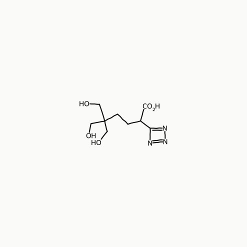 O=C(O)C(CCC(CO)(CO)CO)C1=NN=N1